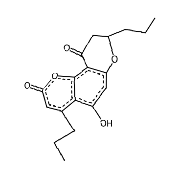 CCCc1cc(=O)oc2c3c(cc(O)c12)OC(CCC)CC3=O